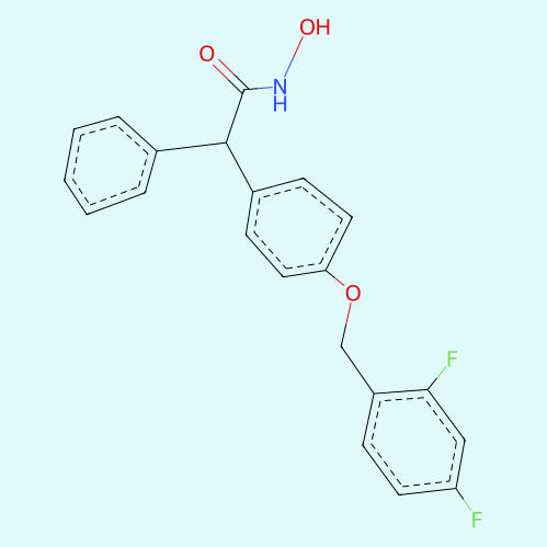 O=C(NO)C(c1ccccc1)c1ccc(OCc2ccc(F)cc2F)cc1